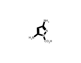 Nc1cc(N)n(C(=O)O)n1